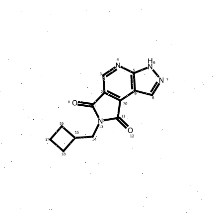 O=C1c2cnc3[nH]ncc3c2C(=O)N1CC1CCC1